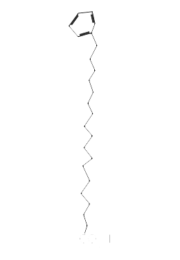 O=C(O)CCCCCCCCCCCCCCCCCc1ccccc1